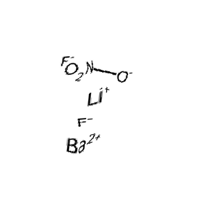 O=[N+]([O-])[O-].[Ba+2].[F-].[F-].[Li+]